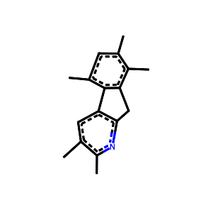 Cc1cc2c(nc1C)Cc1c(C)c(C)cc(C)c1-2